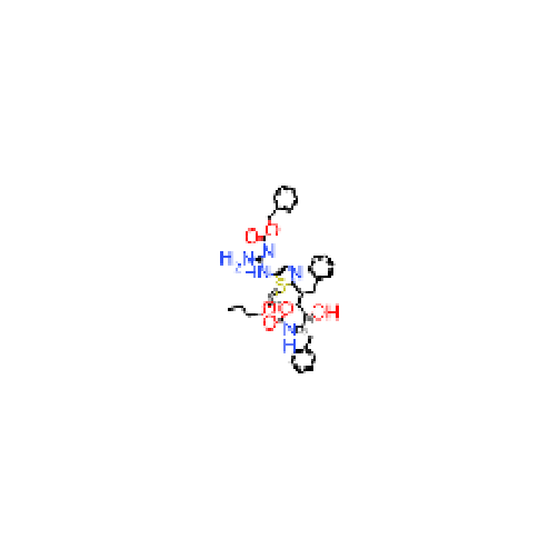 CCCCOC(=O)N[C@@H](Cc1ccccc1)[C@@H](O)CC(Cc1ccccc1)C1=NC=C(NC(N)=NC(=O)OCc2ccccc2)S1=C=O